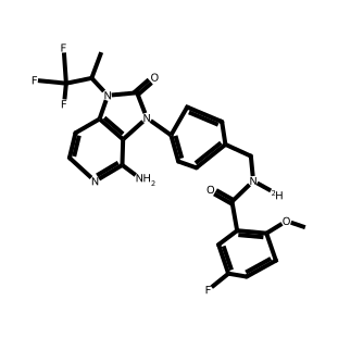 [2H]N(Cc1ccc(-n2c(=O)n(C(C)C(F)(F)F)c3ccnc(N)c32)cc1)C(=O)c1cc(F)ccc1OC